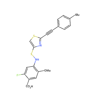 COc1cc(C(=O)O)c(F)cc1NSc1csc(C#Cc2ccc(C(C)(C)C)cc2)n1